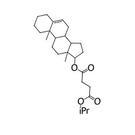 CC(C)OC(=O)CCC(=O)OC1CCC2C3CC=C4CCCCC4(C)C3CCC12C